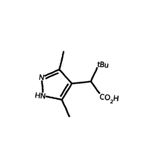 Cc1n[nH]c(C)c1C(C(=O)O)C(C)(C)C